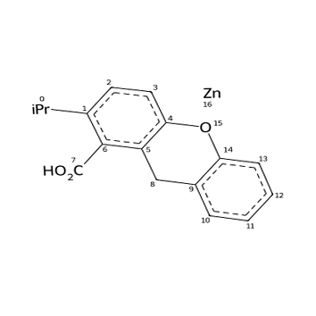 CC(C)c1ccc2c(c1C(=O)O)Cc1ccccc1O2.[Zn]